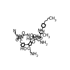 CCCCc1ccc(-c2ncc(C(=O)N[C@@H](CCN)C(=O)N(C)[C@@H]3C(=O)NCC(=O)N[C@H](C(=O)NCC#N)Cc4ccc(O)c(c4)-c4cc3ccc4OCCN)c(C)n2)cc1